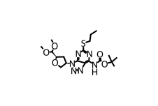 CCCSc1nc(NC(=O)OC(C)(C)C)c2nnn([C@H]3CO[C@@H](C(OC)OC)C3)c2n1